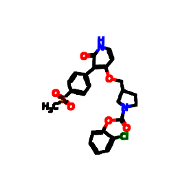 CS(=O)(=O)c1ccc(-c2c(OCC3CCN(C(=O)Oc4ccccc4Cl)C3)cc[nH]c2=O)cc1